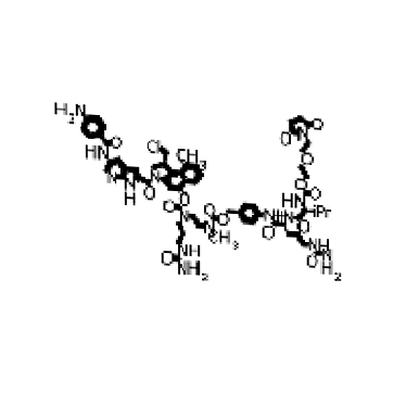 Cc1cccc2c(OC(=O)N(CCCNC(N)=O)CCN(C)C(=O)OCc3ccc(NC(=O)[C@H](CCCNC(N)=O)NC(=O)[C@@H](NC(=O)OCCOCCN4C(=O)C=CC4=O)C(C)C)cc3)cc3c(c12)[C@H](CCl)CN3C(=O)c1cc2cc(NC(=O)c3ccc(N)cc3)cnc2[nH]1